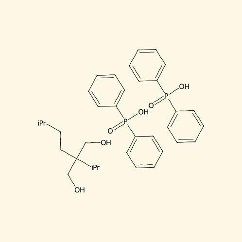 CC(C)CCC(CO)(CO)C(C)C.O=P(O)(c1ccccc1)c1ccccc1.O=P(O)(c1ccccc1)c1ccccc1